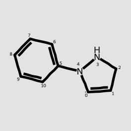 [C]1=CCNN1c1ccccc1